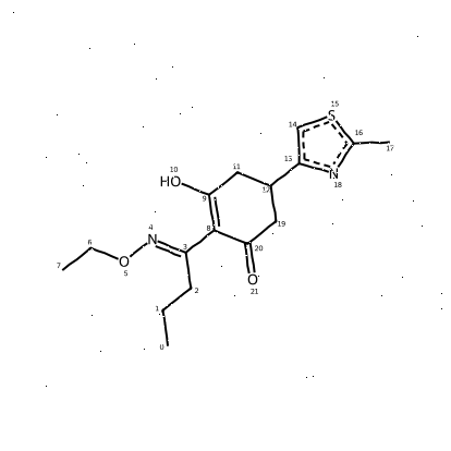 CCC/C(=N\OCC)C1=C(O)CC(c2csc(C)n2)CC1=O